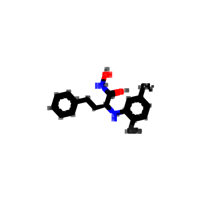 [CH2]c1ccc(OC)c(N[C@@H](CCc2ccccc2)C(=O)NO)c1